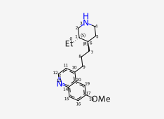 CC[C@@H]1CNCC[C@H]1CCCc1ccnc2ccc(OC)cc12